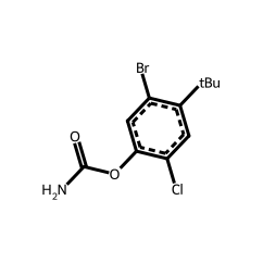 CC(C)(C)c1cc(Cl)c(OC(N)=O)cc1Br